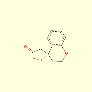 CSC1(CC=O)CCOc2ccccc21